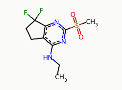 CCNc1nc(S(C)(=O)=O)nc2c1CCC2(F)F